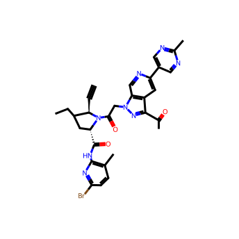 C#C[C@@H]1C(CC)C[C@@H](C(=O)Nc2nc(Br)ccc2C)N1C(=O)Cn1nc(C(C)=O)c2cc(-c3cnc(C)nc3)ncc21